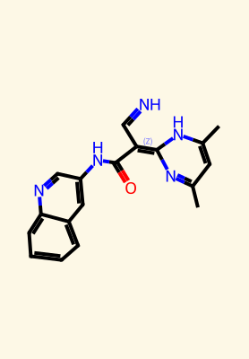 CC1=CC(C)=N/C(=C(/C=N)C(=O)Nc2cnc3ccccc3c2)N1